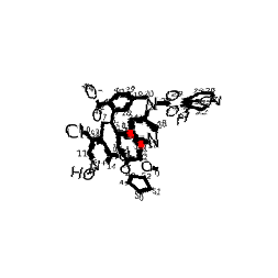 COc1ccc([C@@H](Cc2c(Cl)c[n+](O)cc2Cl)c2cc(CN(C(=O)O[C@H]3CN4CCC3CC4)c3cccnc3)ccc2C(=O)[O-])cc1OC1CCCC1